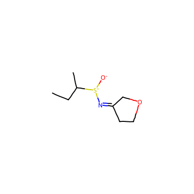 CCC(C)[S+]([O-])N=C1CCOC1